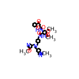 COc1cncc(CN(Cc2ccc(CNC(=O)c3cc(OC)c(OC)cc3NC(=O)c3cc(=O)c4ccccc4o3)cc2)Cc2ccc3c(cnn3C)c2)c1